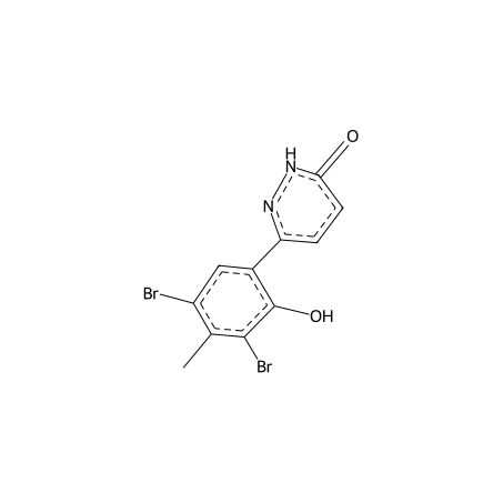 Cc1c(Br)cc(-c2ccc(=O)[nH]n2)c(O)c1Br